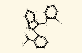 NC(=O)c1ccccc1-c1[nH]c2ccsc2c1Sc1ccccc1F